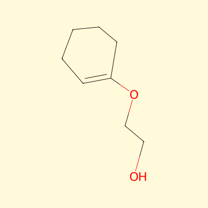 OCCOC1=CCCCC1